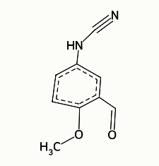 COc1ccc(NC#N)cc1C=O